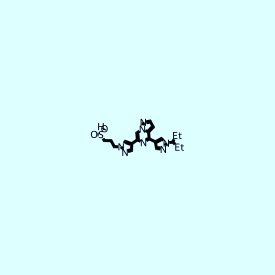 CCC(CC)n1cc(-c2nc(-c3cnn(CCC[SH](=O)=O)c3)cn3nccc23)cn1